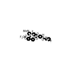 CNC1CCN(Cc2cc(OC(=O)C(F)(F)F)ccc2-c2cccc(-n3c(=O)n(C4CCC(NC(=O)c5cn6cc(F)ccc6n5)CC4)c(=O)c4cc(F)cnc43)c2)CC1